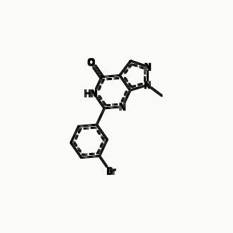 Cn1ncc2c(=O)[nH]c(-c3cccc(Br)c3)nc21